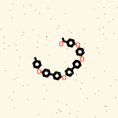 CC(=O)c1ccc(Oc2ccc(Oc3ccc(-c4ccc(Oc5ccc(-c6ccc(Oc7ccc(C)cc7)cc6)cc5)cc4)cc3)cc2)cc1